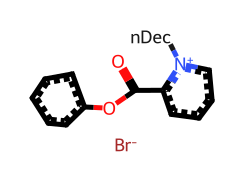 CCCCCCCCCC[n+]1ccccc1C(=O)Oc1ccccc1.[Br-]